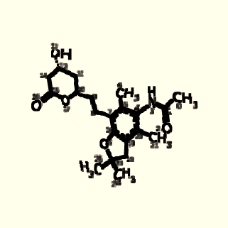 CC(=O)Nc1c(C)c(CC[C@@H]2C[C@@H](O)CC(=O)O2)c2c(c1C)CC(C)(C)O2